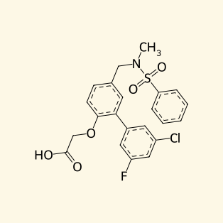 CN(Cc1ccc(OCC(=O)O)c(-c2cc(F)cc(Cl)c2)c1)S(=O)(=O)c1ccccc1